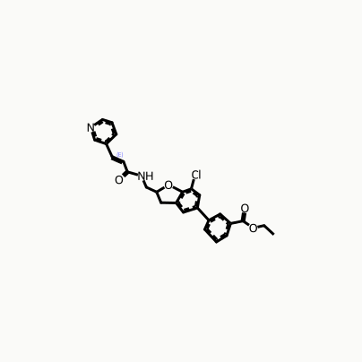 CCOC(=O)c1cccc(-c2cc(Cl)c3c(c2)CC(CNC(=O)/C=C/c2cccnc2)O3)c1